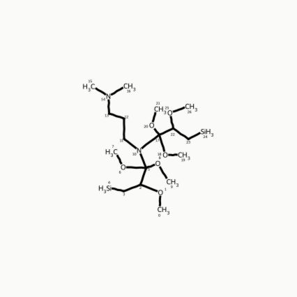 COC(C[SiH3])C(OC)(OC)N(CCCN(C)C)C(OC)(OC)C(C[SiH3])OC